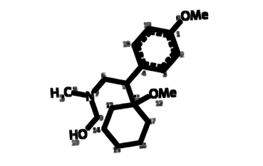 COc1ccc(C(CN(C)CO)C2(OC)CCCCC2)cc1